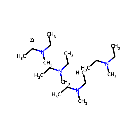 CCN(C)CC.CCN(C)CC.CCN(C)CC.CCN(C)CC.[Zr]